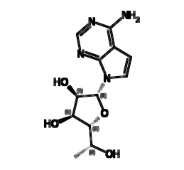 C[C@@H](O)[C@H]1O[C@@H](n2ccc3c(N)ncnc32)[C@H](O)[C@@H]1O